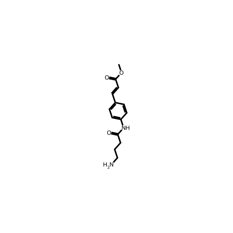 COC(=O)C=Cc1ccc(NC(=O)CCCN)cc1